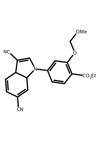 CCOC(=O)c1ccc(N2C=C(C#N)C3C=CC(C#N)=CC32)cc1OCOC